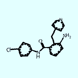 Nc1cccc(C(=O)Nc2ccc(Cl)cc2)c1Cc1ccncc1